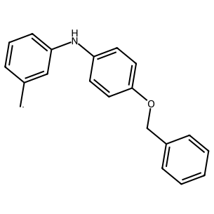 [CH2]c1cccc(Nc2ccc(OCc3ccccc3)cc2)c1